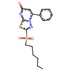 CCCCCCS(=O)(=O)c1nn2c(-c3ccccc3)cc(=O)nc2s1